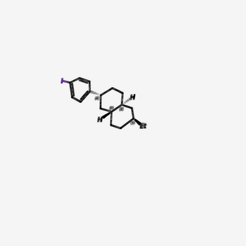 CC[C@H]1CC[C@@H]2C[C@H](c3ccc(I)cc3)CC[C@H]2C1